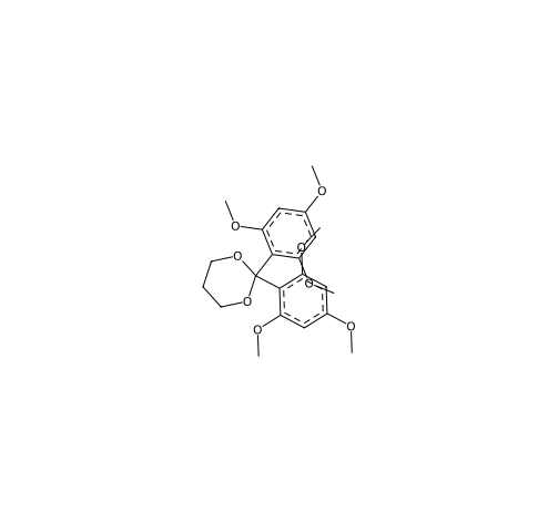 COc1cc(OC)c(C2(c3c(OC)cc(OC)cc3OC)OCCCO2)c(OC)c1